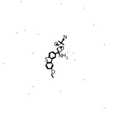 CCOc1ccc2sc3ccc([C@@](C)(N)CS(=O)(=O)C(C)(C)C#N)cc3c2c1